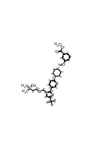 COC(=O)c1cccc(OC[C@H]2CC[C@H](c3ccc(-c4nc(C(F)(F)F)cn4COCC[Si](C)(C)C)cn3)CC2)c1